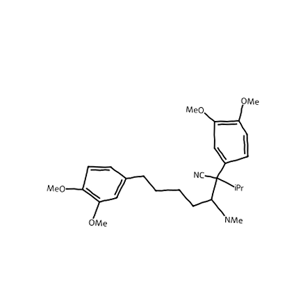 CNC(CCCCc1ccc(OC)c(OC)c1)C(C#N)(c1ccc(OC)c(OC)c1)C(C)C